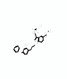 Cc1noc(-c2cn(CC(O)Cc3ccc(Oc4ccccc4)cc3)c3ccc(C(=O)OC(C)(C)C)cc23)n1